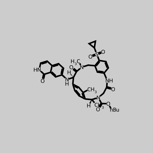 CCCCOC(=O)N1CC(=O)Nc2ccc(S(=O)(=O)C3CC3)c(c2)CN(C)C(=O)[C@H](Nc2ccc3cc[nH]c(=O)c3c2)c2ccc(c(C)c2)[C@H]1C